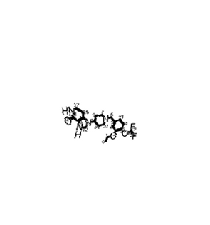 CCOc1cc(CN2CCC(N3CNc4c3cc[nH]c4=O)CC2)ccc1OC(F)F